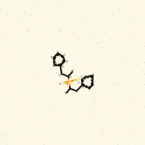 CC(Cc1ccccc1)P(=S)(S)C(C)Cc1ccccc1